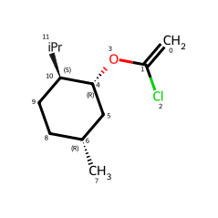 C=C(Cl)O[C@@H]1C[C@H](C)CC[C@H]1C(C)C